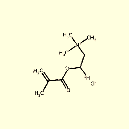 [2H]C(C[N+](C)(C)C)OC(=O)C(=C)C.[Cl-]